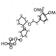 COc1ccc(CCO[C@H]2CCCC[C@@H]2N2CC[C@H](OCOP(=O)(O)O)C2)cc1OC